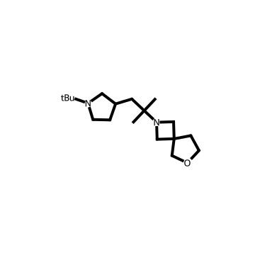 CC(C)(C)N1CCC(CC(C)(C)N2CC3(CCOC3)C2)C1